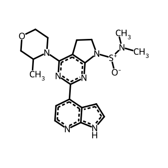 CC1COCCN1c1nc(-c2ccnc3[nH]ccc23)nc2c1CCN2[S+]([O-])N(C)C